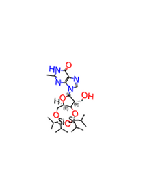 Cc1nc2c(ncn2[C@@H]2O[C@@H]3CO[Si](C(C)C)(C(C)C)O[Si](C(C)C)(C(C)C)OC3[C@H]2CO)c(=O)[nH]1